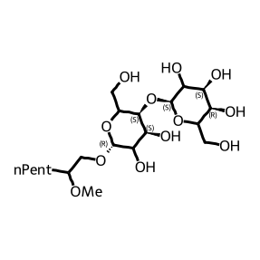 CCCCCC(CO[C@@H]1OC(CO)[C@@H](O[C@@H]2OC(CO)[C@H](O)[C@H](O)C2O)[C@@H](O)C1O)OC